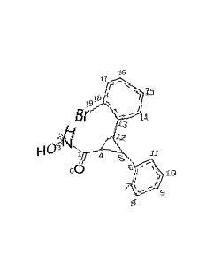 O=C(NO)C1C(c2ccccc2)C1c1ccccc1Br